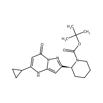 CC(C)(C)OC(=O)N1CCCC[C@H]1c1cc2[nH]c(C3CC3)cc(=O)n2n1